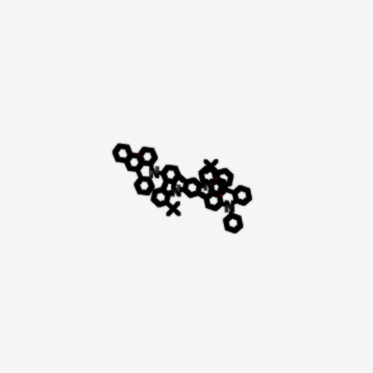 CC(C)(C)c1cccc2c3c(N(c4ccccc4)c4ccccc4-c4ccc5ccccc5c4)ccc4c5cc6c(cc5n(c12)c43)c1ccc(N(c2ccccc2)c2ccccc2-c2ccc3ccccc3c2)c2c3cccc(C(C)(C)C)c3n6c12